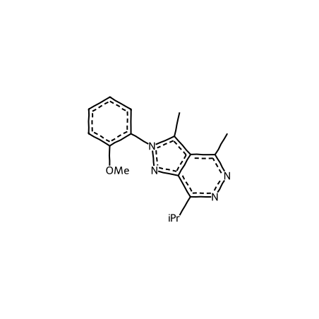 COc1ccccc1-n1nc2c(C(C)C)nnc(C)c2c1C